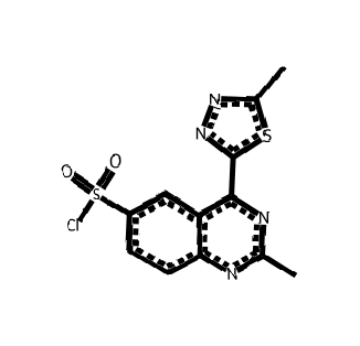 Cc1nc(-c2nnc(C)s2)c2cc(S(=O)(=O)Cl)ccc2n1